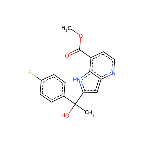 COC(=O)c1ccnc2cc(C(C)(O)c3ccc(F)cc3)[nH]c12